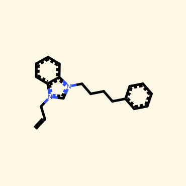 C=CC[n+]1cn(CCCCc2ccccc2)c2ccccc21